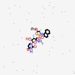 CC(C)OC(=O)[C@H](C)NP(=S)(OC[C@@]1(N)O[C@@H](n2ccc(=O)[nH]c2=O)[C@H](O)[C@@H]1F)Oc1ccc2ccccc2c1